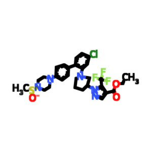 CCOC(=O)c1cnn(C2CCCN(c3cc(Cl)ccc3-c3ccc(N4CCN([S+](C)[O-])CC4)cc3)C2)c1C(F)(F)F